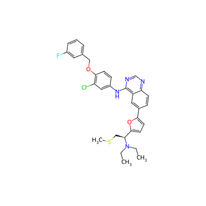 CCN(CC)[C@@H](CSC)c1ccc(-c2ccc3ncnc(Nc4ccc(OCc5cccc(F)c5)c(Cl)c4)c3c2)o1